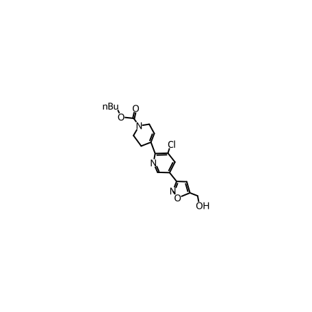 CCCCOC(=O)N1CC=C(c2ncc(-c3cc(CO)on3)cc2Cl)CC1